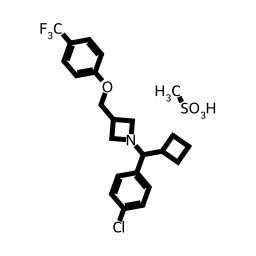 CS(=O)(=O)O.FC(F)(F)c1ccc(OCC2CN(C(c3ccc(Cl)cc3)C3CCC3)C2)cc1